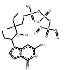 CCC([C@H](O)[C@@](C)(COP(=O)(O)OP(=O)(O)OP(=O)(N=O)N=O)OC)n1cnc2c(=O)[nH]c(N)nc21